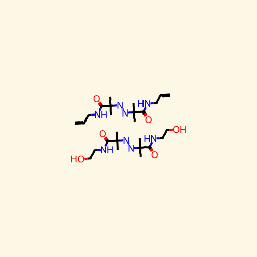 C=CCNC(=O)C(C)(C)/N=N/C(C)(C)C(=O)NCC=C.CC(C)(/N=N/C(C)(C)C(=O)NCCO)C(=O)NCCO